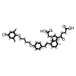 Cc1cc(Cl)cc(C)c1OCCCCOc1ccc(/C=C/c2cccc3c(C(=O)CCC(=O)O)cn(CC(=O)O)c23)cc1